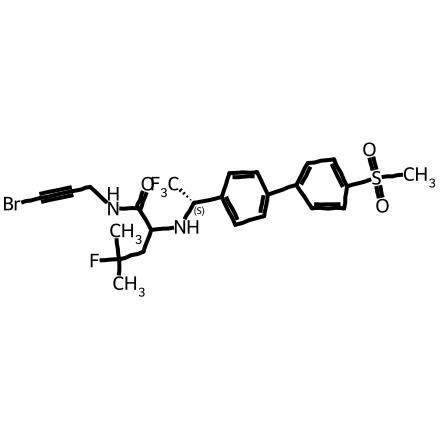 CC(C)(F)CC(N[C@@H](c1ccc(-c2ccc(S(C)(=O)=O)cc2)cc1)C(F)(F)F)C(=O)NCC#CBr